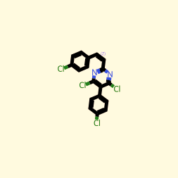 Clc1ccc(/C=C\c2nc(Cl)c(-c3ccc(Cl)cc3)c(Cl)n2)cc1